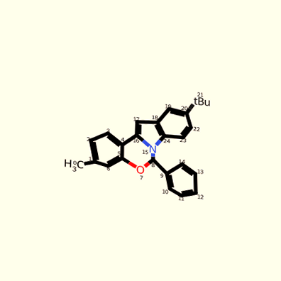 Cc1ccc2c(c1)OC(c1ccccc1)n1c-2cc2cc(C(C)(C)C)ccc21